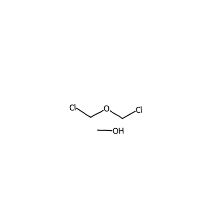 CO.ClCOCCl